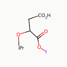 CC(C)OC(CC(=O)O)C(=O)OI